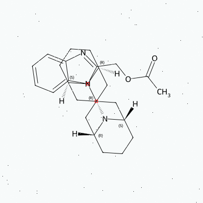 CC(=O)OCc1nc2ccccc2n1C1C[C@H]2CCC[C@@H](C1)N2[C@H]1C[C@@H]2CCC[C@@H](C2)C1